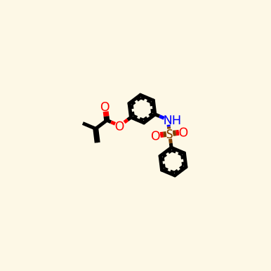 C=C(C)C(=O)Oc1cccc(NS(=O)(=O)c2ccccc2)c1